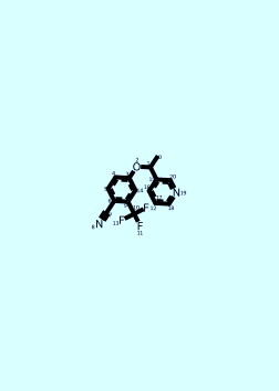 CC(Oc1ccc(C#N)c(C(F)(F)F)c1)c1cccnc1